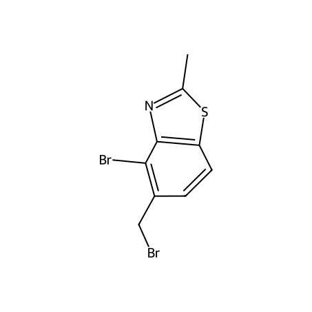 Cc1nc2c(Br)c(CBr)ccc2s1